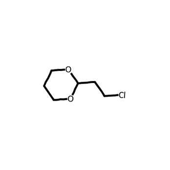 ClCCC1OCCCO1